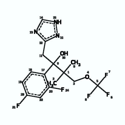 CC(C)(COC(F)(F)F)C(O)(Cc1nc[nH]n1)c1ccc(F)cc1F